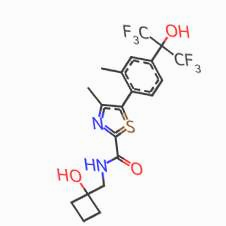 Cc1cc(C(O)(C(F)(F)F)C(F)(F)F)ccc1-c1sc(C(=O)NCC2(O)CCC2)nc1C